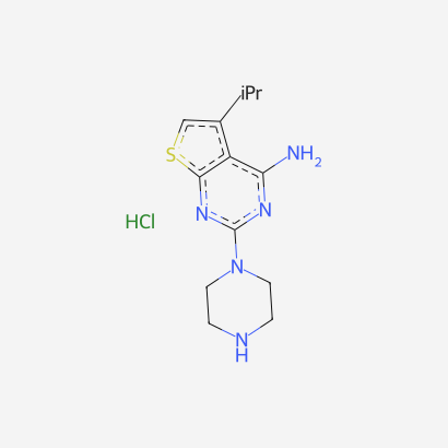 CC(C)c1csc2nc(N3CCNCC3)nc(N)c12.Cl